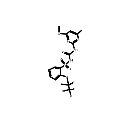 COc1cc(C)nc(NC(=O)NS(=O)(=O)c2ccccc2OC(F)(F)C(F)(F)F)n1